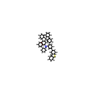 c1ccc(-c2ccccc2N(c2cccc(-c3ccc4sc5ccccc5c4c3)c2)c2ccc3c(c2)C(c2ccccc2)(c2ccccc2)c2ccccc2-3)cc1